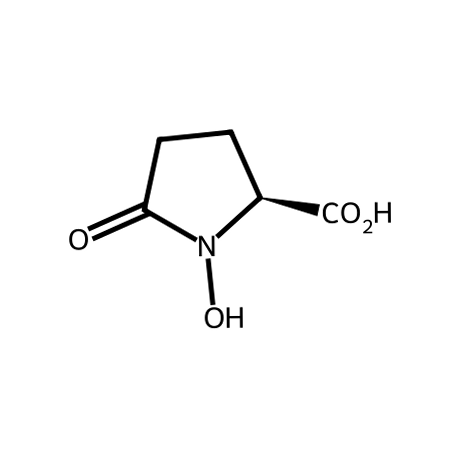 O=C(O)[C@@H]1CCC(=O)N1O